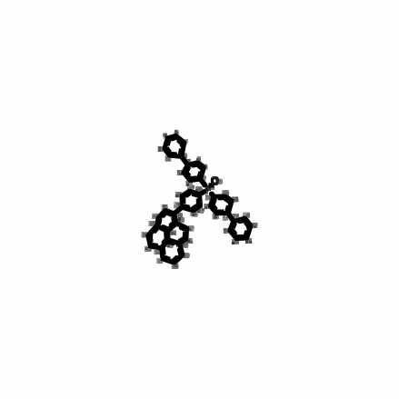 O=P(c1ccc(-c2ccccc2)cc1)(c1ccc(-c2ccccc2)cc1)c1ccc(-c2ccc3ccc4cccc5ccc2c3c45)cc1